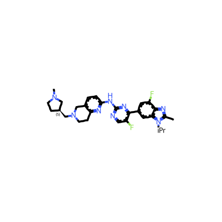 Cc1nc2c(F)cc(-c3nc(Nc4ccc5c(n4)CCN(C[C@H]4CCN(C)C4)C5)ncc3F)cc2n1C(C)C